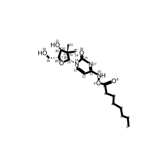 CCCCCCCC(=O)ONc1ccn([C@@H]2O[C@H](CO)[C@@H](O)[C@]2(C)F)c(=O)n1